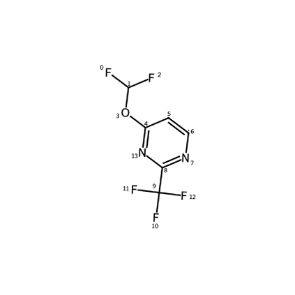 FC(F)Oc1c[c]nc(C(F)(F)F)n1